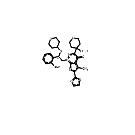 COc1ccccc1[C@H](Cn1nc(C2(C(=O)O)CCOCC2)c(=O)c2c(C)c(-c3ncco3)sc21)OC1CCOCC1